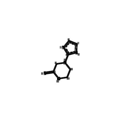 S=C1CN(c2nccs2)CCO1